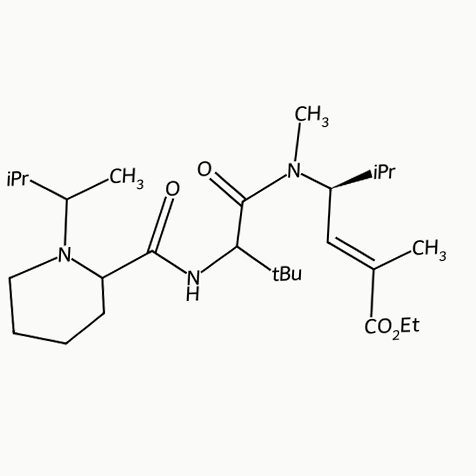 CCOC(=O)/C(C)=C/[C@H](C(C)C)N(C)C(=O)C(NC(=O)C1CCCCN1C(C)C(C)C)C(C)(C)C